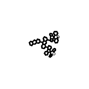 c1ccc2c(c1)Oc1ccccc1C21c2ccccc2-c2c(-c3cccc4c(-c5ccc6cc7ccccc7cc6c5)c5cccc(-c6cccc7c6-c6ccccc6C76c7ccccc7Oc7ccccc76)c5cc34)cccc21